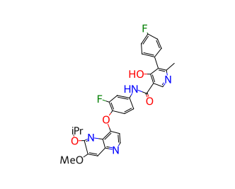 COc1cc2nccc(Oc3ccc(NC(=O)c4cnc(C)c(-c5ccc(F)cc5)c4O)cc3F)c2nc1OC(C)C